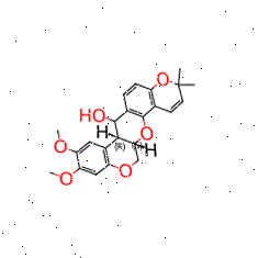 COc1cc2c(cc1OC)[C@@H]1C(O)c3ccc4c(c3O[C@@H]1CO2)C=CC(C)(C)O4